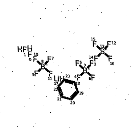 F.F.F[B-](F)(F)F.F[B-](F)(F)F.F[B-](F)(F)F.[LiH].c1ccccc1